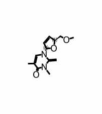 C=C1N(C)C(=O)C(C)=CN1[C@H]1C=C[C@@H](COC)O1